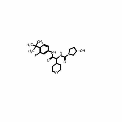 CC(C)(C)c1ccc(NC(=O)C(NC(=O)N2CC[C@H](O)C2)C2CCOCC2)cc1F